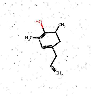 C=CCC1=CC(C)=C(O)C(C)C1